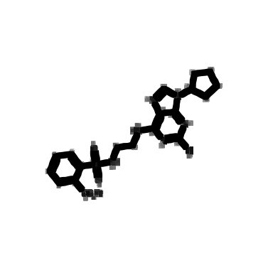 CCOC(=O)c1ccccc1S(=O)(=O)NCCNc1nc(Cl)nc2c1ncn2C1CCCC1